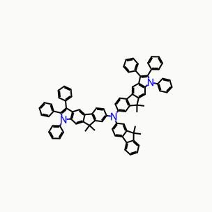 CC1(C)c2ccccc2-c2ccc(N(c3ccc4c(c3)C(C)(C)c3cc5c(cc3-4)c(-c3ccccc3)c(-c3ccccc3)n5-c3ccccc3)c3ccc4c(c3)C(C)(C)c3cc5c(cc3-4)c(-c3ccccc3)c(-c3ccccc3)n5-c3ccccc3)cc21